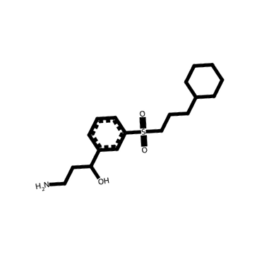 NCCC(O)c1cccc(S(=O)(=O)CCCC2CCCCC2)c1